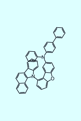 c1ccc(-c2ccc(N(c3ccccc3)c3ccc4oc5cccc(-n6c7ccccc7c7ccc8ccccc8c76)c5c4c3)cc2)cc1